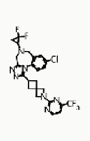 FC(F)(F)c1ccnc(N2CC3(CC(c4nnc5n4-c4ccc(Cl)cc4CN(C4CC4(F)F)C5)C3)C2)n1